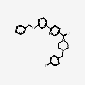 O=C(c1ccc(-c2cccc(OCc3ccccc3)c2)nc1)N1CCN(Cc2ccc(F)cc2)CC1